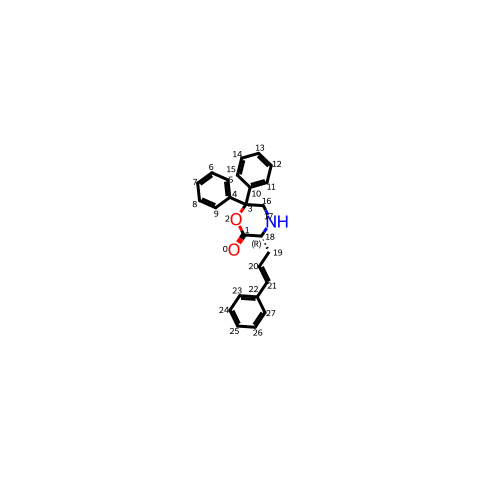 O=C1OC(c2ccccc2)(c2ccccc2)CN[C@@H]1CC=Cc1ccccc1